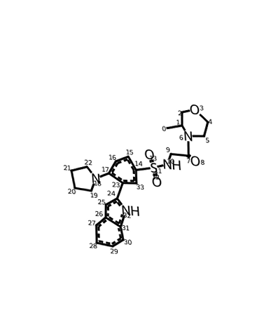 CC1COCCN1C(=O)CNS(=O)(=O)c1ccc(N2CCCC2)c(-c2cc3ccccc3[nH]2)c1